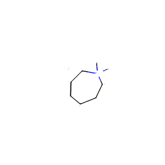 CC[N+]1(CC)CCCCCC1.I